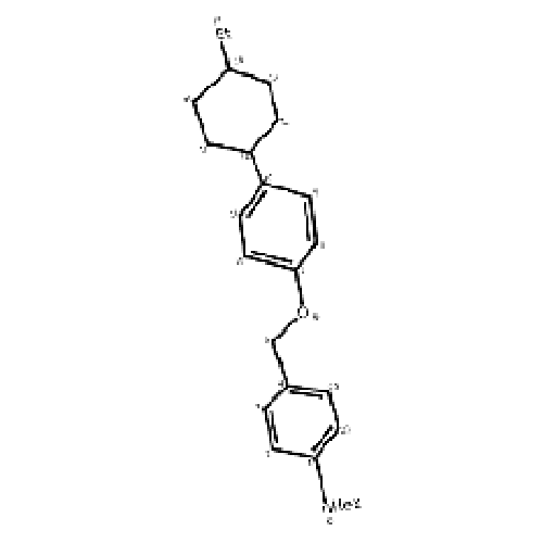 CCCCCCc1ccc(COc2ccc(C3CCC(CC)CC3)cc2)cc1